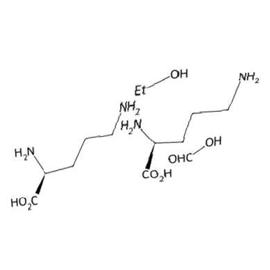 CCO.NCCC[C@H](N)C(=O)O.NCCC[C@H](N)C(=O)O.O=CO